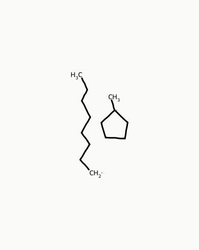 C[C]1CCCC1.[CH2]CCCCCCC